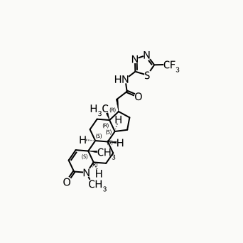 CN1C(=O)C=C[C@]2(C)[C@H]3CC[C@]4(C)[C@@H](CC(=O)Nc5nnc(C(F)(F)F)s5)CC[C@H]4[C@@H]3CC[C@@H]12